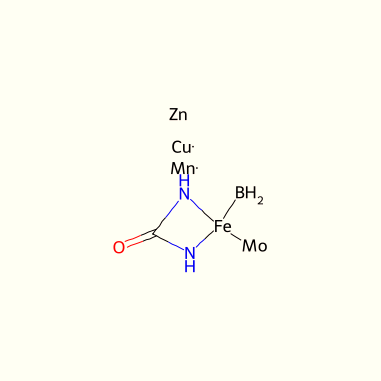 [BH2][Fe]1([Mo])[NH]C(=O)[NH]1.[Cu].[Mn].[Zn]